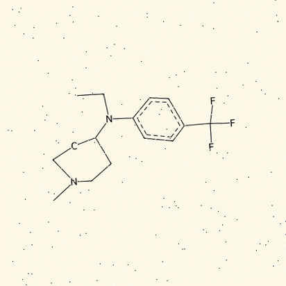 CCN(c1ccc(C(F)(F)F)cc1)C1CCN(C)CC1